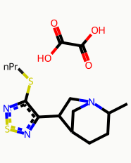 CCCSc1nsnc1C1CN2CC1CCC2C.O=C(O)C(=O)O